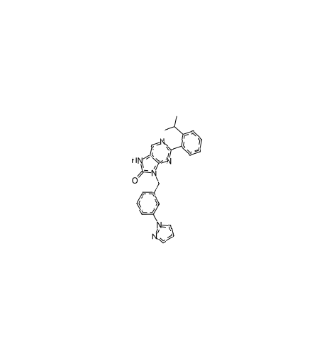 CC(C)c1ccccc1-c1ncc2[nH]c(=O)n(Cc3cccc(-n4cccn4)c3)c2n1